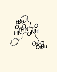 CC(C)COS(=O)(=O)CCCNC(=O)[C@H](Cc1ccccc1)NC(=O)[C@H](Cc1ccccc1)NC(=O)OC(C)(C)C